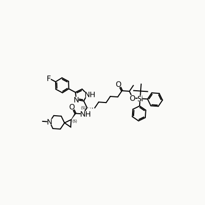 CC(O[Si](c1ccccc1)(c1ccccc1)C(C)(C)C)C(=O)CCCCC[C@H](NC(=O)[C@H]1CC12CCN(C)CC2)c1nc(-c2ccc(F)cc2)c[nH]1